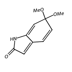 COC1(OC)C=CC2=CC(=O)NC2=C1